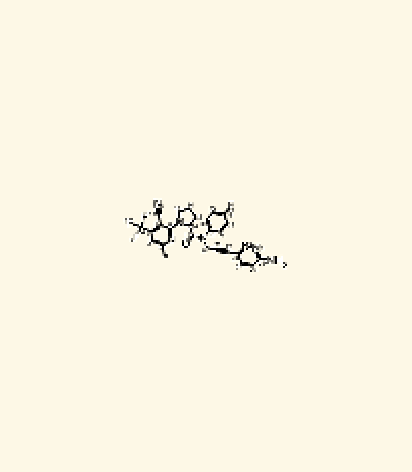 Cc1cc(C(F)(F)F)c(C#N)c(N2CCC[C@H]2C(=O)N(CC#Cc2ccc(N)nn2)c2ccc(F)cc2)n1